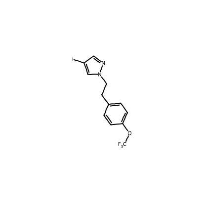 FC(F)(F)Oc1ccc(CCn2cc(I)cn2)cc1